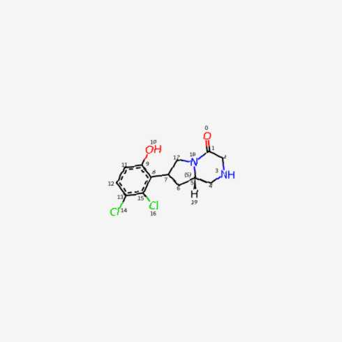 O=C1CNC[C@@H]2CC(c3c(O)ccc(Cl)c3Cl)CN12